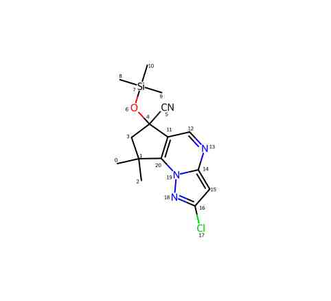 CC1(C)CC(C#N)(O[Si](C)(C)C)c2cnc3cc(Cl)nn3c21